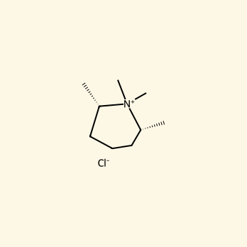 C[C@@H]1CCC[C@H](C)[N+]1(C)C.[Cl-]